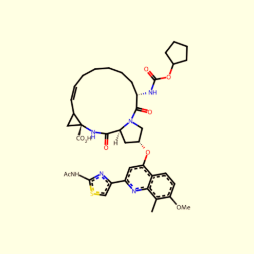 COc1ccc2c(O[C@@H]3C[C@H]4C(=O)N[C@]5(C(=O)O)CC5/C=C\CCCCC[C@H](NC(=O)OC5CCCC5)C(=O)N4C3)cc(-c3csc(NC(C)=O)n3)nc2c1C